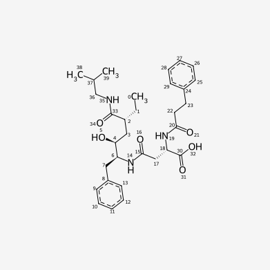 CC[C@H](C[C@H](O)[C@H](Cc1ccccc1)NC(=O)C[C@H](NC(=O)CCc1ccccc1)C(=O)O)C(=O)NCC(C)C